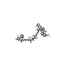 CC(C)N(C)[C@@H]1CC[C@H](N2CC[C@H](Nc3ncnc4ccc(C(F)(F)F)cc34)C2=O)[C@H](NC(=O)CCOCCC(=O)N[C@H]2C[C@H](C(=O)NCCOCCNC(=O)[C@H]3CC(=O)N(C)[C@@H]3c3cccnc3)C2)C1